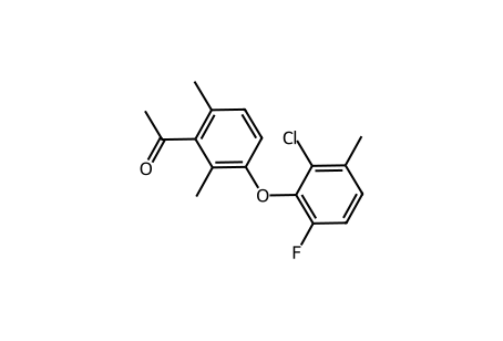 CC(=O)c1c(C)ccc(Oc2c(F)ccc(C)c2Cl)c1C